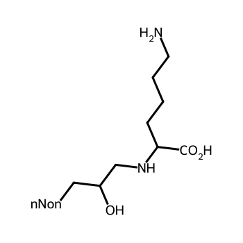 CCCCCCCCCCC(O)CNC(CCCCN)C(=O)O